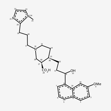 COc1ccc2nccc(C(O)CC[C@@H]3CCN(CCCc4nccn4C)C[C@@H]3C(=O)O)c2c1